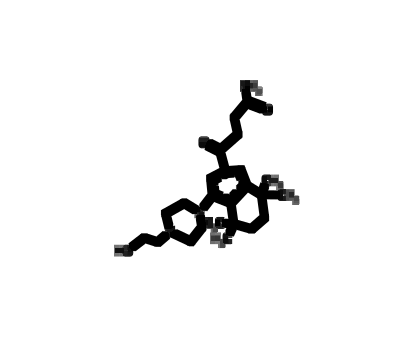 CC1(C)CCC(C)(C)c2c(N3CCN(CCO)CC3)cc(C(=O)CCC(N)=O)cc21